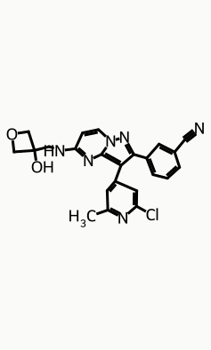 Cc1cc(-c2c(-c3cccc(C#N)c3)nn3ccc(NCC4(O)COC4)nc23)cc(Cl)n1